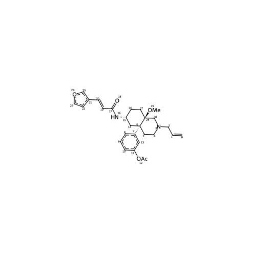 C=CCN1CC[C@@]2(c3cccc(OC(C)=O)c3)C[C@H](NC(=O)/C=C/c3ccoc3)CC[C@]2(OC)C1